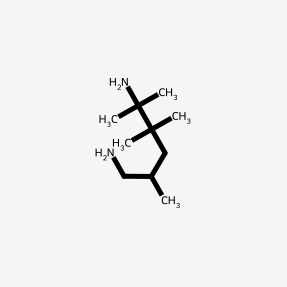 CC(CN)CC(C)(C)C(C)(C)N